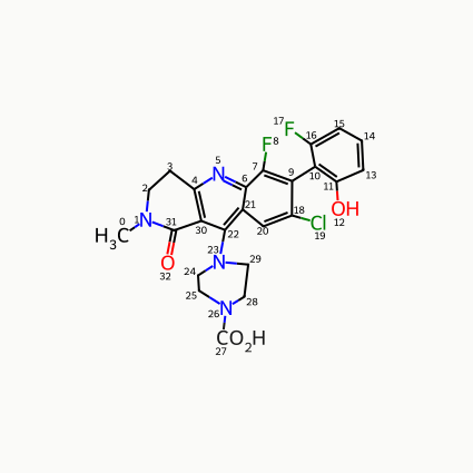 CN1CCc2nc3c(F)c(-c4c(O)cccc4F)c(Cl)cc3c(N3CCN(C(=O)O)CC3)c2C1=O